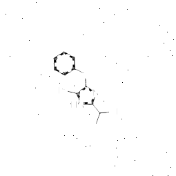 CC(C)c1[nH]c(C(C)O)nc1Sc1ccccc1